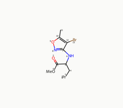 COC(=O)C(CC(C)C)Nc1noc(C)c1Br